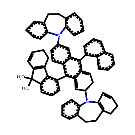 CC1(C)C2=C(CCC=C2)c2c(-c3c4c(c(-c5cccc6ccccc56)c5cc(N6c7ccccc7CCc7ccccc76)ccc35)=CCC(N3C5=C(CCC=C5)CCc5ccccc53)C=4)cccc21